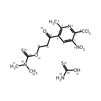 Cc1nc(C(Cl)(Cl)Cl)c([N+](=O)[O-])cc1C(=O)CCOC(=S)N(C)C.NC(O)=S